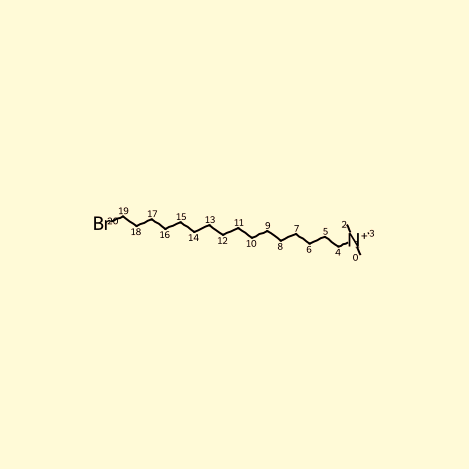 C[N+](C)(C)CCCCCCCCCCCCCCCCBr